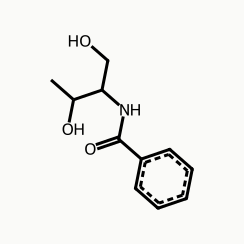 CC(O)C(CO)NC(=O)c1ccccc1